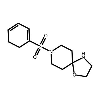 O=S(=O)(C1=CC=CCC1)N1CCC2(CC1)NCCO2